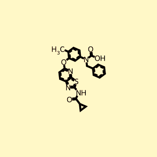 Cc1ccc(N(Cc2ccccc2)C(=O)O)cc1Oc1ccc2nc(NC(=O)C3CC3)sc2n1